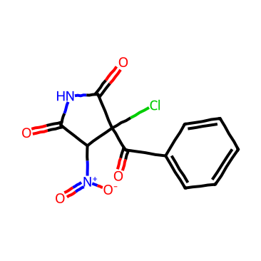 O=C1NC(=O)C(Cl)(C(=O)c2ccccc2)C1[N+](=O)[O-]